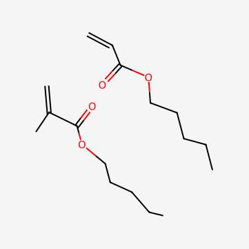 C=C(C)C(=O)OCCCCC.C=CC(=O)OCCCCC